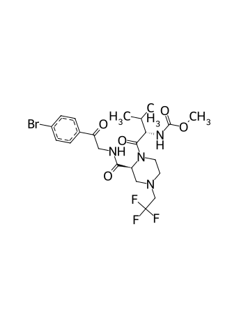 COC(=O)N[C@H](C(=O)N1CCN(CC(F)(F)F)C[C@H]1C(=O)NCC(=O)c1ccc(Br)cc1)C(C)C